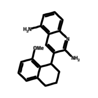 COc1cccc2c1C(c1cc3c(N)cccc3nc1N)CCC2